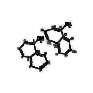 Oc1cccc2ccccc12.Oc1cccc2ccccc12